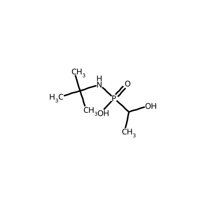 CC(O)P(=O)(O)NC(C)(C)C